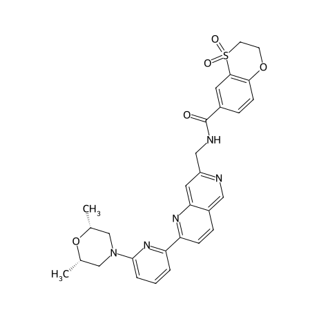 C[C@@H]1CN(c2cccc(-c3ccc4cnc(CNC(=O)c5ccc6c(c5)S(=O)(=O)CCO6)cc4n3)n2)C[C@H](C)O1